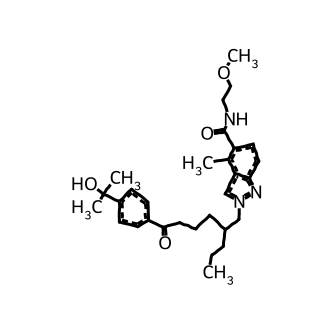 CCCC(CCCC(=O)c1ccc(C(C)(C)O)cc1)Cn1cc2c(C)c(C(=O)NCCOC)ccc2n1